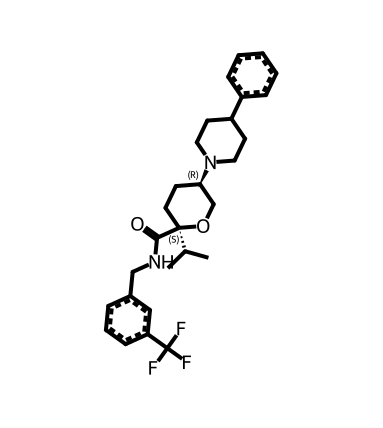 CC(C)[C@]1(C(=O)NCc2cccc(C(F)(F)F)c2)CC[C@@H](N2CCC(c3ccccc3)CC2)CO1